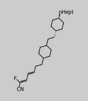 CCCCCCC[C@H]1CC[C@H](CCC2CCC(CCC=CC=C(F)C#N)CC2)CC1